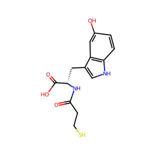 O=C(CCS)N[C@@H](Cc1c[nH]c2ccc(O)cc12)C(=O)O